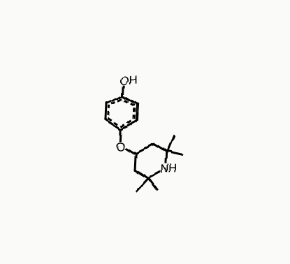 CC1(C)CC(Oc2ccc(O)cc2)CC(C)(C)N1